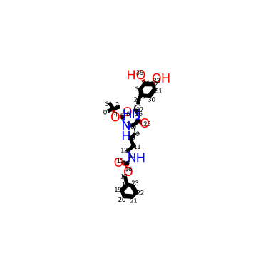 CC(C)(C)OC(=O)N[C@@H](CCCCNC(=O)OCc1ccccc1)C(=O)NCCc1ccc(O)c(O)c1